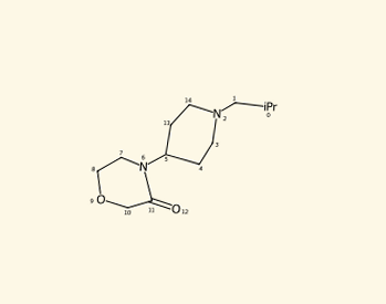 CC(C)CN1CCC(N2CCOCC2=O)CC1